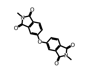 CN1C(=O)c2ccc(Oc3ccc4c(c3)C(=O)N(C)C4=O)cc2C1=O